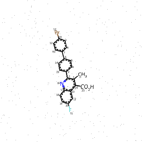 Cc1c(-c2ccc(-c3ccc(Br)cc3)cc2)nc2ccc(F)cc2c1C(=O)O